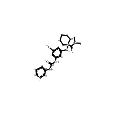 CN(C)C(=O)[N+]1(Oc2cc(F)cc(NC(=O)Nc3cccnc3)c2)CCCCC1